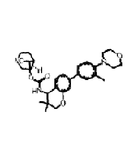 Cc1cc(-c2ccc3c(c2)OCC(C)(C)C3NC(=O)O[C@H]2CN3CCC2CC3)ccc1N1CCOCC1